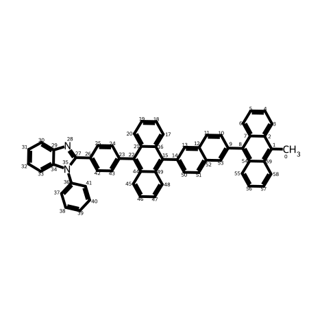 Cc1c2ccccc2c(-c2ccc3cc(-c4c5ccccc5c(-c5ccc(-c6nc7ccccc7n6-c6ccccc6)cc5)c5ccccc45)ccc3c2)c2ccccc12